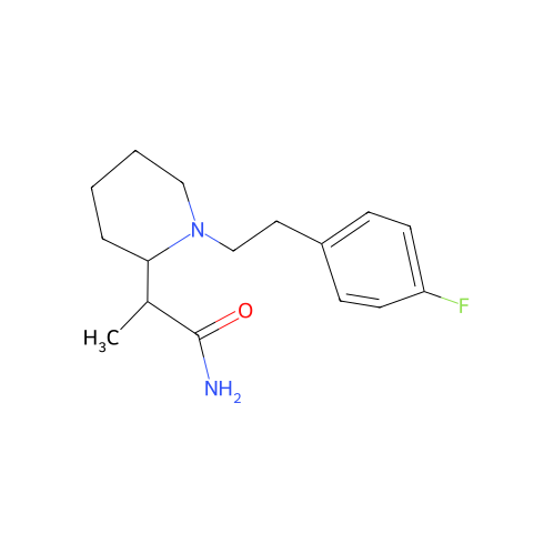 CC(C(N)=O)C1CCCCN1CCc1ccc(F)cc1